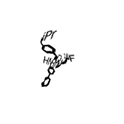 CC(C)Cc1ccc(C(=O)Nc2cc(-c3ccccc3)ccc2NCC[18F])cc1